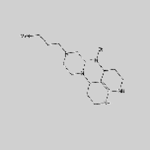 CCN(C)C1CCNC2=C1C(N1CCN(CCCNC)CC1)CCN2